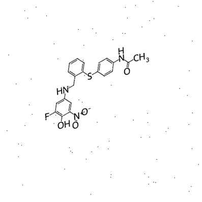 CC(=O)Nc1ccc(Sc2ccccc2CNc2cc(F)c(O)c([N+](=O)[O-])c2)cc1